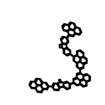 c1cc2ccc3cc(-c4ccc5c(c4)sc4cc(-c6cc7ccc8cccc9c(-c%10cc%11ccc%12cccc%13c(-c%14ccc%15oc%16ccc(-c%17cc%18cccc%19ccc%20cccc%17c%20c%19%18)cc%16c%15c%14)cc(c%10)c%11c%12%13)cc(c6)c7c89)ccc45)cc4ccc(c1)c2c34